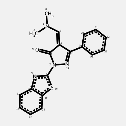 CN(C)C=C1C(=O)N(c2nc3ccccc3s2)N=C1c1ccccc1